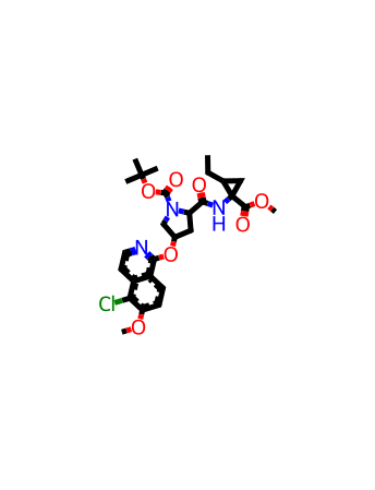 CCC1CC1(NC(=O)C1CC(Oc2nccc3c(Cl)c(OC)ccc23)CN1C(=O)OC(C)(C)C)C(=O)OC